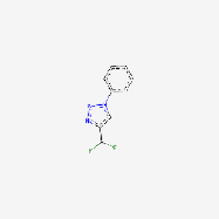 FC(F)c1cn(-c2ccccc2)nn1